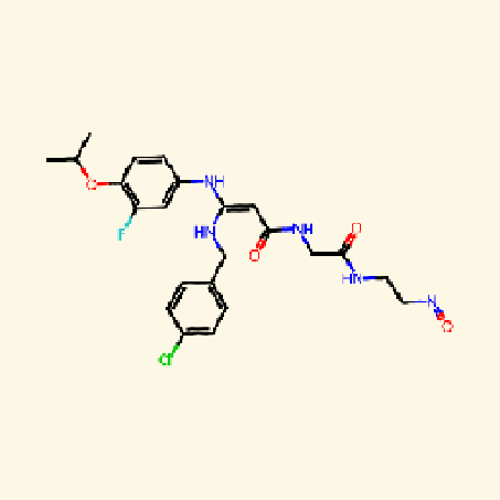 CC(C)Oc1ccc(N/C(=C/C(=O)NCC(=O)NCCN=O)NCc2ccc(Cl)cc2)cc1F